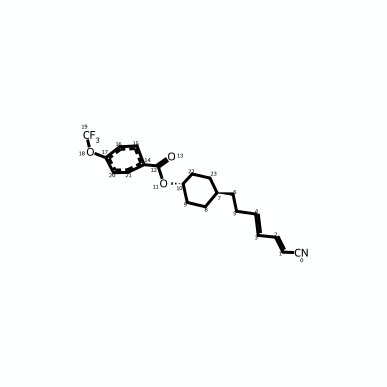 N#CC=CC=CCC[C@H]1CC[C@H](OC(=O)c2ccc(OC(F)(F)F)cc2)CC1